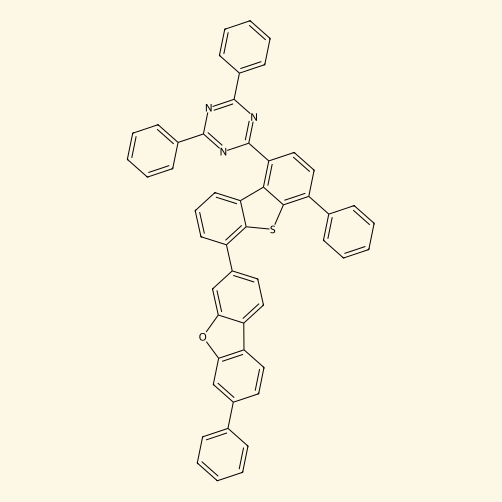 c1ccc(-c2ccc3c(c2)oc2cc(-c4cccc5c4sc4c(-c6ccccc6)ccc(-c6nc(-c7ccccc7)nc(-c7ccccc7)n6)c45)ccc23)cc1